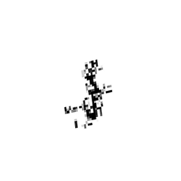 CNC(=O)[C@@H]1C[C@@]2(C)C[C@H]2N1C(=O)Cn1nc(C(C)=O)c2cc(-c3cnc(C)nc3)ncc21